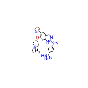 CN1CCC(Oc2cc3nc(Nc4ccc(-c5ncn[nH]5)cc4)ncc3cc2-c2nccs2)CC1